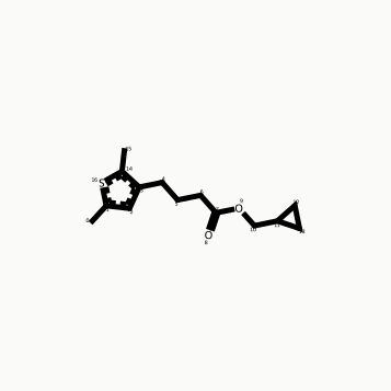 Cc1cc(CCCC(=O)OCC2CC2)c(C)s1